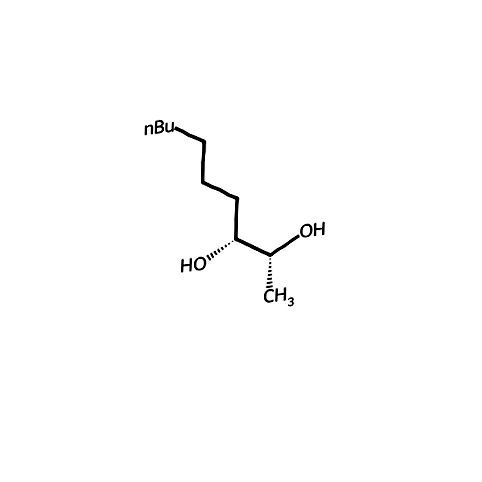 CCCCCCC[C@@H](O)[C@@H](C)O